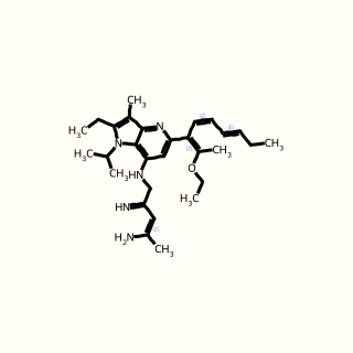 CC/C=C/C=C\C(=C(/C)OCC)c1cc(NCC(=N)/C=C(/C)N)c2c(n1)c(C)c(CC)n2C(C)C